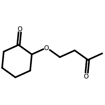 CC(=O)CCOC1CCCCC1=O